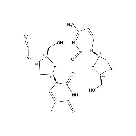 Cc1cn([C@H]2C[C@H](N=[N+]=[N-])[C@@H](CO)O2)c(=O)[nH]c1=O.Nc1ccn([C@H]2CS[C@@H](CO)O2)c(=O)n1